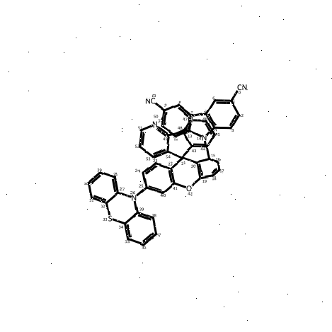 N#Cc1ccc2c(c1)c1cc(C#N)ccc1n2C1CC=CC2=C1C1(c3ccc(N4c5ccccc5Sc5ccccc54)cc3O2)c2cccnc2-c2ncccc21